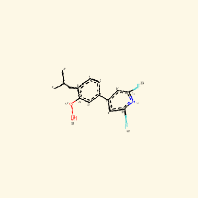 CC(C)c1ccc(-c2cc(F)nc(F)c2)cc1OO